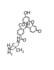 CC(C)(CN)CNC(=O)c1ccc(C(=O)O)c(-c2c3ccc(=O)cc-3oc3cc(O)ccc23)c1